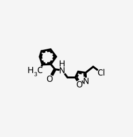 Cc1ccccc1C(=O)NCc1cc(CCl)no1